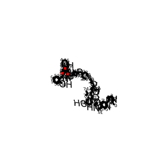 Cc1nccn1-c1ccc([C@H](C)NC(=O)[C@@H]2C[C@@H](O)CN2C(=O)[C@@H](c2cc(OCCN3CCC(OC4CC(Oc5cc(N6C7CC[C@@H]6CN(c6cc(-c8ccccc8O)nnc6N)C7)ccn5)C4)CC3)no2)C(C)C)cn1